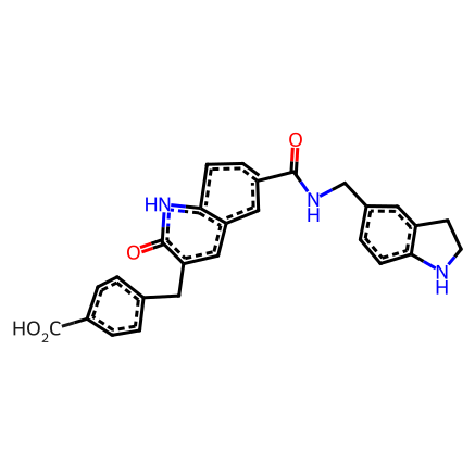 O=C(O)c1ccc(Cc2cc3cc(C(=O)NCc4ccc5c(c4)CCN5)ccc3[nH]c2=O)cc1